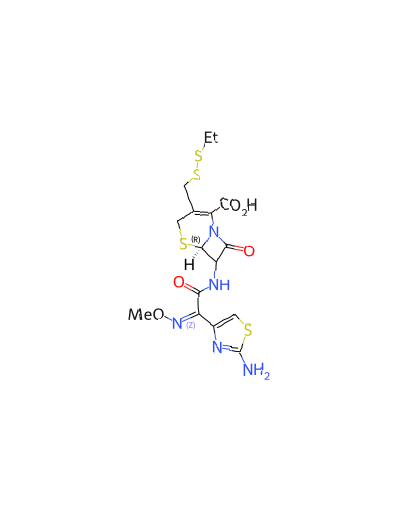 CCSSCC1=C(C(=O)O)N2C(=O)C(NC(=O)/C(=N\OC)c3csc(N)n3)[C@H]2SC1